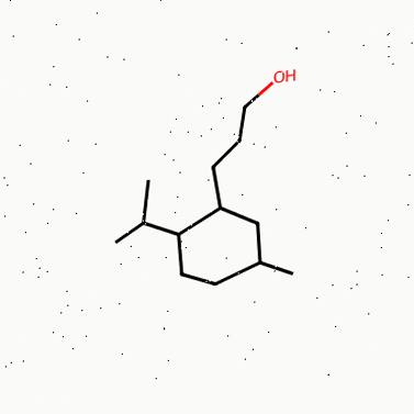 CC1CCC(C(C)C)C(CCCO)C1